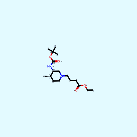 CCOC(=O)CCCN1CC[C@@H](C)[C@@H](NC(=O)OC(C)(C)C)C1